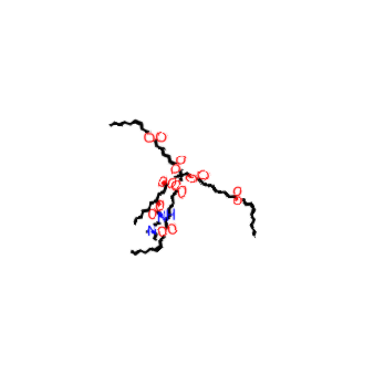 CCCCC/C=C\CCOC(=O)CCCCCC(=O)OCC(COC(=O)CCCCCC(=O)OCC/C=C\CCCCC)(COC(=O)CCCCCC(=O)OCC/C=C\CCCCC)COC(=O)CCC(CCCCCC)OC(=O)NCCN(C)CC